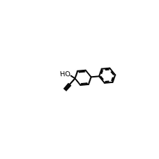 C#CC1(O)C=CC(c2ccccc2)C=C1